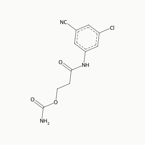 N#Cc1cc(Cl)cc(NC(=O)CCOC(N)=O)c1